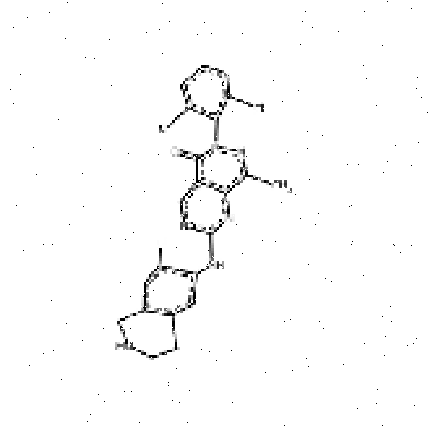 Cc1nn(-c2c(Cl)cccc2Cl)c(=O)c2cnc(Nc3cc4c(cc3F)CNCC4)nc12